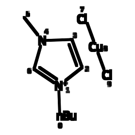 CCCC[n+]1ccn(C)c1.[Cl][Cu][Cl]